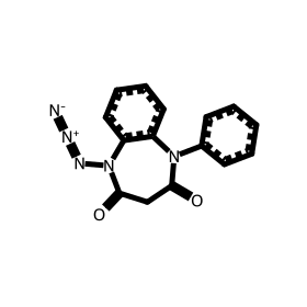 [N-]=[N+]=NN1C(=O)CC(=O)N(c2ccccc2)c2ccccc21